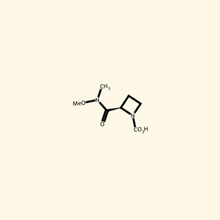 CON(C)C(=O)[C@H]1CCN1C(=O)O